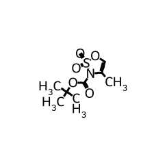 CC1=COS(=O)(=O)N1C(=O)OC(C)(C)C